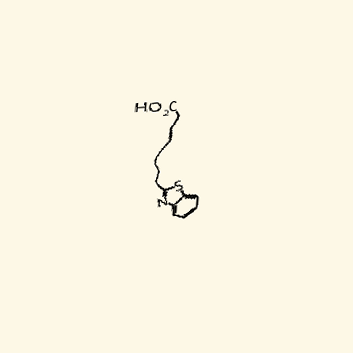 O=C(O)CCCCCCc1nc2ccccc2s1